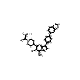 C[C@@H](O)C(=O)N1CCC(c2nc3c(-c4ccc(-c5ccc6c(c5)OCO6)nc4)cnn3c(N)c2Br)CC1